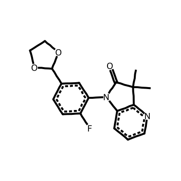 CC1(C)C(=O)N(c2cc(C3OCCO3)ccc2F)c2cccnc21